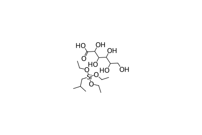 CCO[Si](CC(C)C)(OCC)OCC.O=C(O)C(O)C(O)C(O)C(O)CO